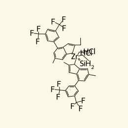 CCC1=Cc2c(-c3cc(C(F)(F)F)cc(C(F)(F)F)c3)cc(C)cc2[CH]1[Zr](=[SiH2])([CH2]C)([CH2]C)[CH]1C(C)=Cc2c(-c3cc(C(F)(F)F)cc(C(F)(F)F)c3)cc(C)cc21.Cl.Cl